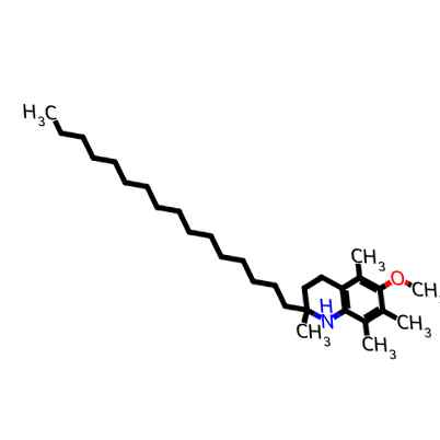 CCCCCCCCCCCCCCCCC1(C)CCc2c(C)c(OC)c(C)c(C)c2N1